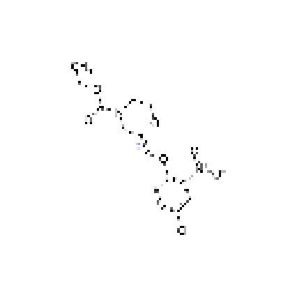 CCOC(=O)N1CCO/C(=C\Oc2ccc(Cl)cc2[N+](=O)[O-])C1